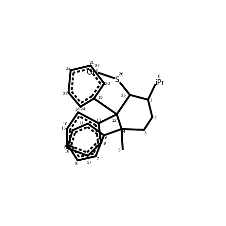 CC(C)C1CCC(C)(c2ccccc2)C(c2ccccc2)(c2ccccc2)C1SN=O